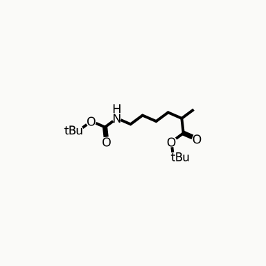 CC(CCCCNC(=O)OC(C)(C)C)C(=O)OC(C)(C)C